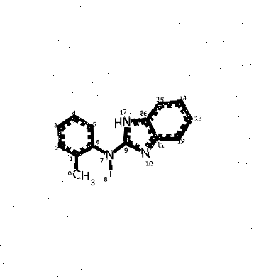 Cc1ccccc1N(I)c1nc2ccccc2[nH]1